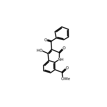 COC(=O)c1cccc2c(O)c(C(=O)c3ccccc3)c(=O)[nH]c12